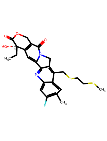 CC[C@@]1(O)C(=O)OCc2c1cc1n(c2=O)Cc2c-1nc1cc(F)c(C)cc1c2CSCCSC